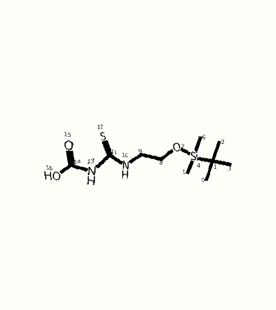 CC(C)(C)[Si](C)(C)OCCNC(=S)NC(=O)O